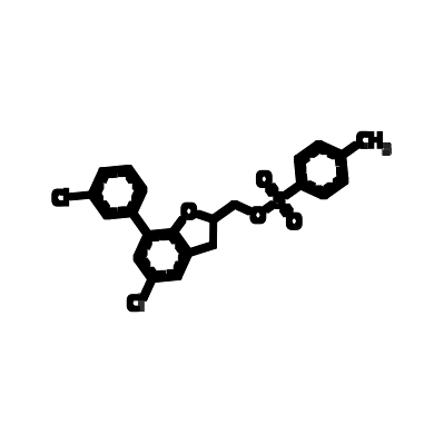 Cc1ccc(S(=O)(=O)OCC2Cc3cc(Cl)cc(-c4cccc(Cl)c4)c3O2)cc1